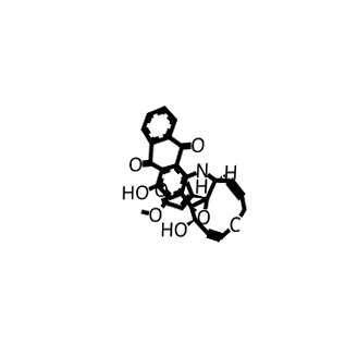 COC(=O)/C=C(\C)[C@@]12O[C@]13c1cc(O)c4c(c1N[C@H]2C#CCCC#C[C@H]3O)C(=O)c1ccccc1C4=O